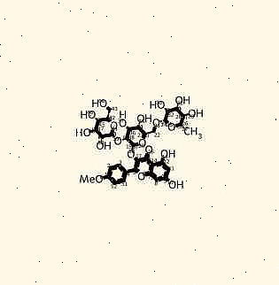 COc1ccc(-c2oc3cc(O)cc(O)c3c(=O)c2O[C@@H]2O[C@H](CO[C@@H]3O[C@@H](C)[C@H](O)[C@@H](O)[C@H]3O)[C@@H](O)[C@H](O)[C@H]2O[C@@H]2O[C@H](CO)[C@@H](O)[C@H](O)[C@H]2O)cc1